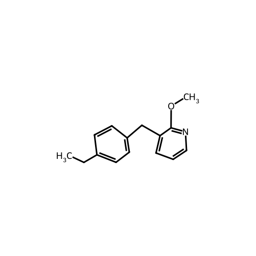 CCc1ccc(Cc2cccnc2OC)cc1